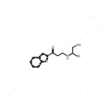 CC(C)C(CO)NCCC(=O)c1cc2ccccc2s1